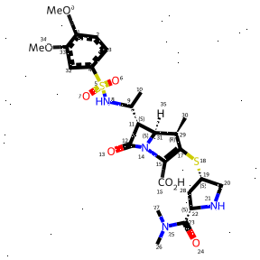 COc1ccc(S(=O)(=O)NC(C)[C@H]2C(=O)N3C(C(=O)O)=C(S[C@@H]4CN[C@H](C(=O)N(C)C)C4)[C@H](C)[C@H]23)cc1OC